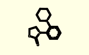 O=C1OCCN1c1ccccc1N1CCCCC1